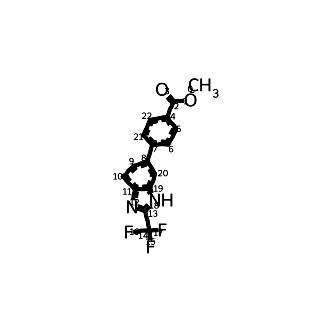 COC(=O)c1ccc(-c2ccc3nc(C(F)(F)F)[nH]c3c2)cc1